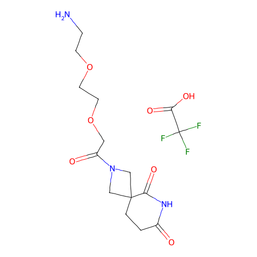 NCCOCCOCC(=O)N1CC2(CCC(=O)NC2=O)C1.O=C(O)C(F)(F)F